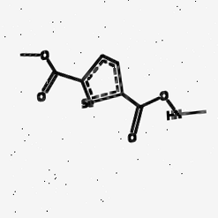 CNOC(=O)c1ccc(C(=O)OC)[se]1